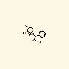 C[C@@H]1C2CN(C)[C@H]1CN2C(C(=O)O)c1ccccc1